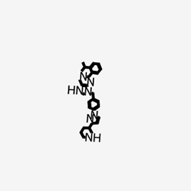 CC(C)c1ccccc1-c1ncc2c(n1)N(Cc1ccc(-n3ccc(C4CCCNC4)n3)cc1)CN2